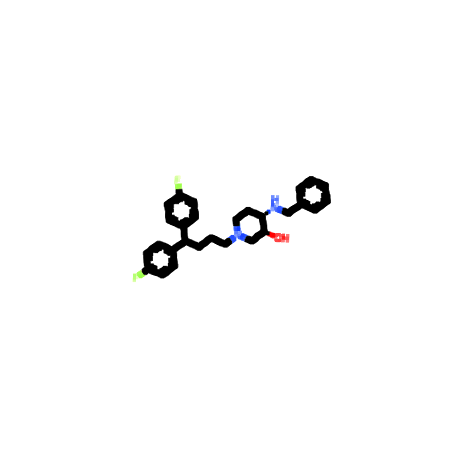 O[C@H]1CN(CCCC(c2ccc(F)cc2)c2ccc(F)cc2)CC[C@@H]1NCc1ccccc1